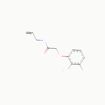 C=CCNC(=O)COc1cccc(Cl)c1C=O